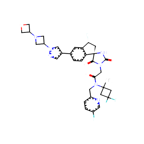 O=C1N[C@]2(C[C@@H](F)c3cc(-c4cnn(C5CN(C6COC6)C5)c4)ccc32)C(=O)N1CC(=O)N(Cc1ccc(F)cn1)C1(C(F)(F)F)CC(F)(F)C1